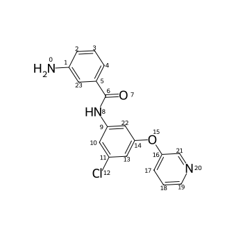 Nc1cccc(C(=O)Nc2cc(Cl)cc(Oc3cccnc3)c2)c1